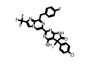 CC1(c2ccc(Cl)cc2)C(=O)Nc2nc(-c3cn4cc(C(F)(F)F)nc4c(Cc4ccc(F)cc4)n3)nc(N)c21